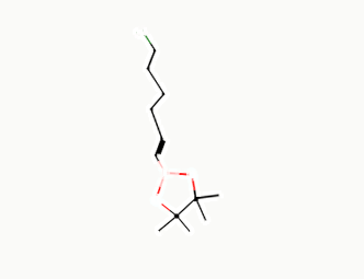 CC1(C)OB(C=CCCCCCl)OC1(C)C